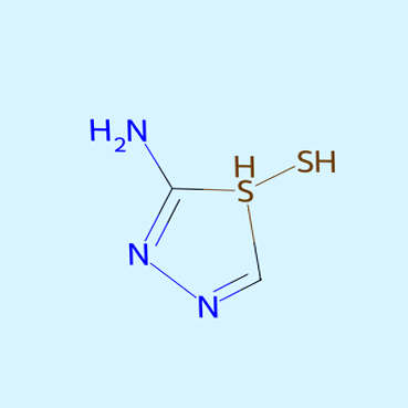 NC1=NN=C[SH]1S